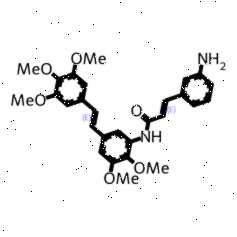 COc1cc(/C=C/c2cc(OC)c(OC)c(OC)c2)cc(NC(=O)/C=C/c2cccc(N)c2)c1OC